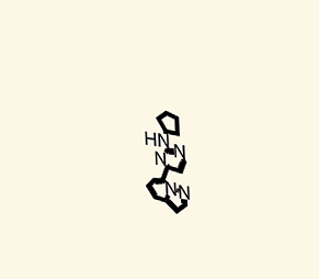 c1cc(-c2ccnc(NC3CCCC3)n2)n2nccc2c1